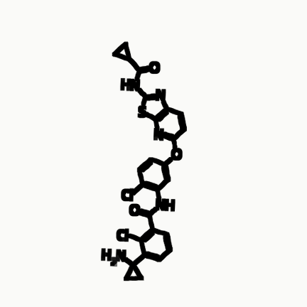 NC1(c2cccc(C(=O)Nc3cc(Oc4ccc5nc(NC(=O)C6CC6)sc5n4)ccc3Cl)c2Cl)CC1